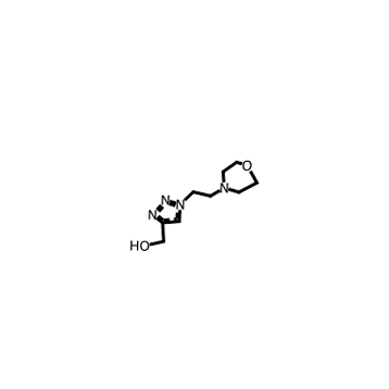 OCc1cn(CCN2CCOCC2)nn1